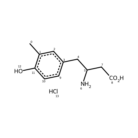 Cc1cc(CC(N)CC(=O)O)ccc1O.Cl